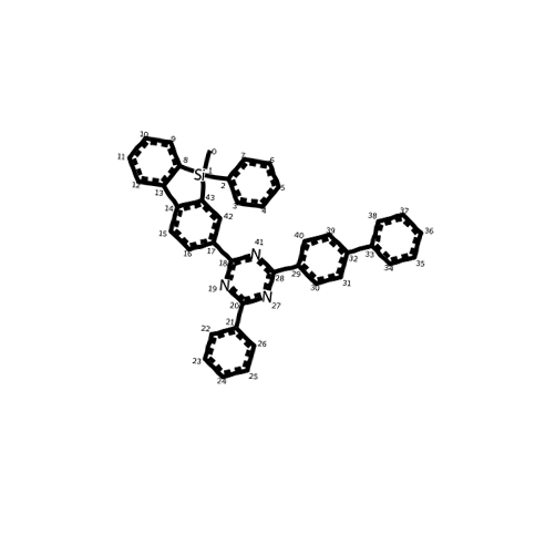 C[Si]1(c2ccccc2)c2ccccc2-c2ccc(-c3nc(-c4ccccc4)nc(-c4ccc(-c5ccccc5)cc4)n3)cc21